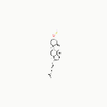 CC(C)CCCC[C@H]1CCC2[C@@H]3CC=C4C[C@@H](OSI)CCC4(C)C3CC[C@@]21C